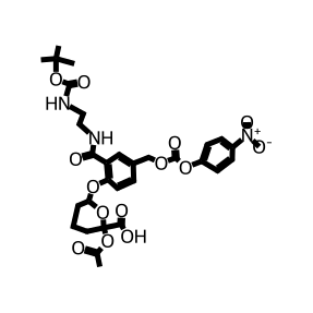 CC(=O)OC1(C(=O)O)CCCC(Oc2ccc(COC(=O)Oc3ccc([N+](=O)[O-])cc3)cc2C(=O)NCCNC(=O)OC(C)(C)C)O1